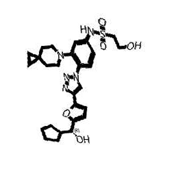 O=S(=O)(CCO)Nc1ccc(-n2cc(-c3ccc([C@H](O)C4CCCC4)o3)nn2)c(N2CCC3(CC2)CC3)c1